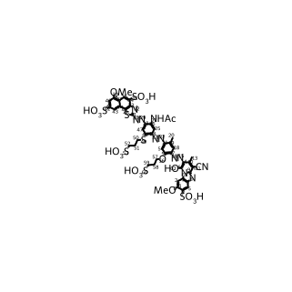 COc1cc2c(cc1S(=O)(=O)O)nc1c(C#N)c(C)c(N=Nc3cc(C)c(N=Nc4cc(NC(C)=O)c(N=Nc5nc6c(S(=O)(=O)O)cc7c(OC)cc(S(=O)(=O)O)cc7c6s5)cc4SCCCS(=O)(=O)O)cc3OCCCS(=O)(=O)O)c(O)n12